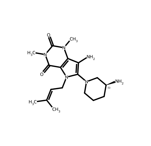 CC(C)=CCn1c(N2CCC[C@H](N)C2)c(N)c2c1c(=O)n(C)c(=O)n2C